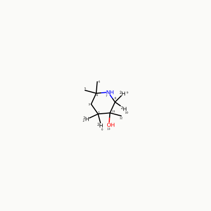 [2H]C1([2H])CC(C)(C)NC([2H])([2H])C1(C)O